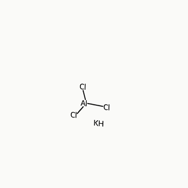 [Cl][Al]([Cl])[Cl].[KH]